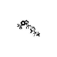 CC1CN(CC(=O)N2CCc3ccc([N+](=O)[O-])cc32)CCN1C(=O)OC(C)(C)C